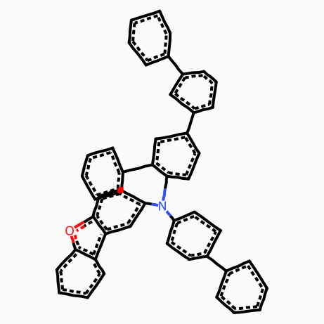 c1ccc(-c2ccc(N(c3ccc4oc5ccccc5c4c3)c3ccc(-c4cccc(-c5ccccc5)c4)cc3-c3ccccc3)cc2)cc1